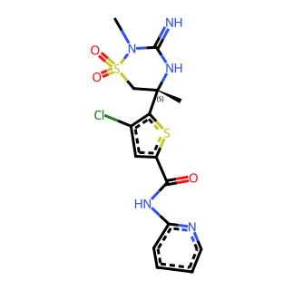 CN1C(=N)N[C@](C)(c2sc(C(=O)Nc3ccccn3)cc2Cl)CS1(=O)=O